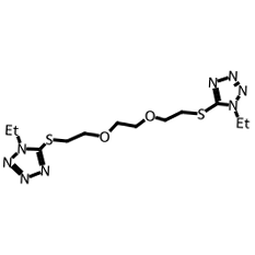 CCn1nnnc1SCCOCCOCCSc1nnnn1CC